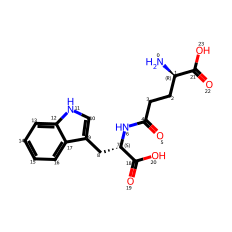 N[C@H](CCC(=O)N[C@@H](Cc1c[nH]c2ccccc12)C(=O)O)C(=O)O